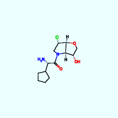 N[C@H](C(=O)N1C[C@H](Cl)[C@H]2OC[C@H](O)[C@H]21)C1CCCC1